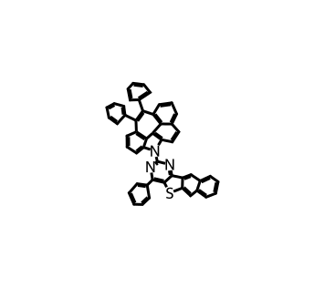 c1ccc(C2=C(c3ccccc3)c3cccc4c3c3c5c2cccc5ccc3n4-c2nc(-c3ccccc3)c3sc4cc5ccccc5cc4c3n2)cc1